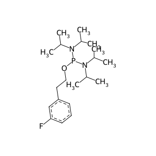 CC(C)N(C(C)C)P(OCCc1cccc(F)c1)N(C(C)C)C(C)C